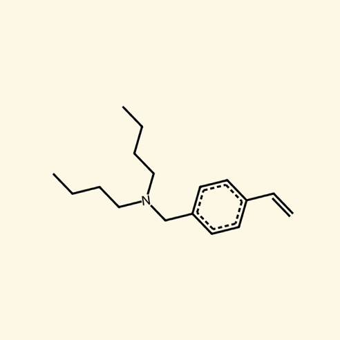 C=Cc1ccc(CN(CCCC)CCCC)cc1